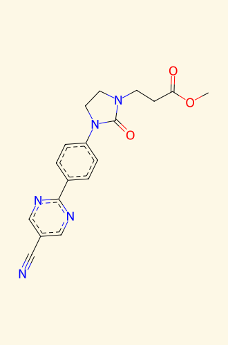 COC(=O)CCN1CCN(c2ccc(-c3ncc(C#N)cn3)cc2)C1=O